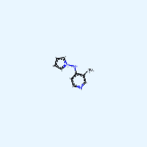 O=[N+]([O-])c1cnccc1Nn1cccc1